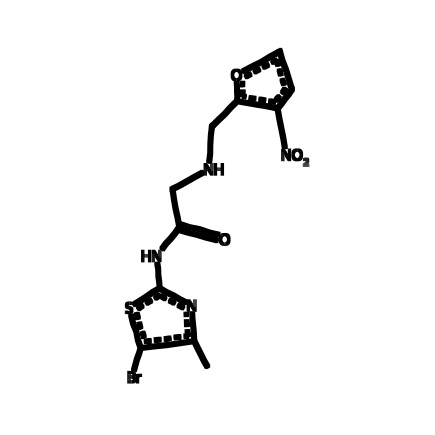 Cc1nc(NC(=O)CNCc2occc2[N+](=O)[O-])sc1Br